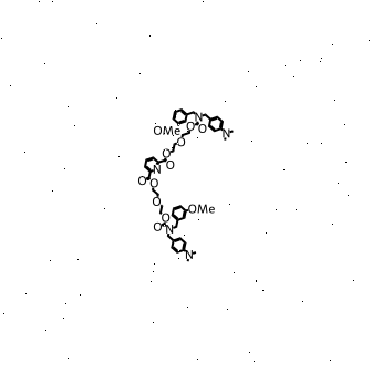 COc1cccc(CN(Cc2ccc(N(C)C)cc2)C(=O)OCCOCCOC(=O)c2cccc(C(=O)OCCOCCOC(=O)N(Cc3ccc(N(C)C)cc3)Cc3cccc(OC)c3)n2)c1